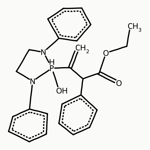 C=C(C(C(=O)OCC)c1ccccc1)[PH]1(O)N(c2ccccc2)CCN1c1ccccc1